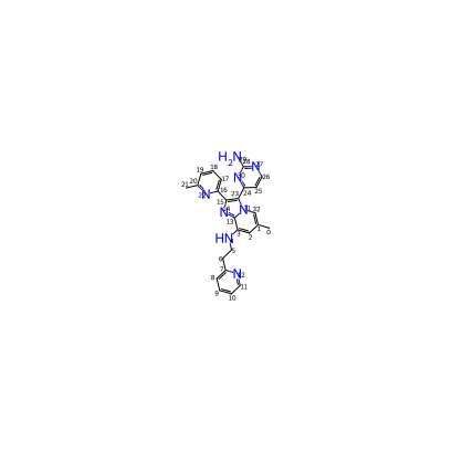 Cc1cc(NCCc2ccccn2)c2nc(-c3cccc(C)n3)c(-c3ccnc(N)n3)n2c1